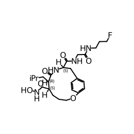 CC(C)C[C@H]1C(=O)N[C@H](C(=O)NCC(=O)NCCCF)Cc2ccc(cc2)OCCC[C@@H]1C(=O)NO